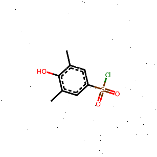 Cc1cc(S(=O)(=O)Cl)cc(C)c1O